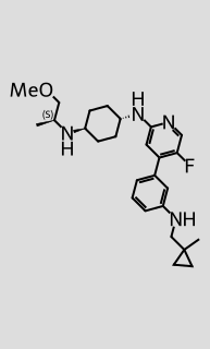 COC[C@H](C)N[C@H]1CC[C@H](Nc2cc(-c3cccc(NCC4(C)CC4)c3)c(F)cn2)CC1